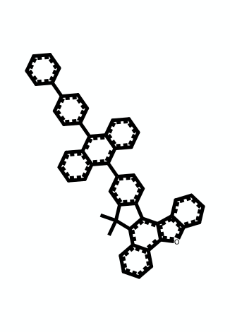 CC1(C)c2cc(-c3c4ccccc4c(-c4ccc(-c5ccccc5)cc4)c4ccccc34)ccc2-c2c1c1ccccc1c1oc3ccccc3c21